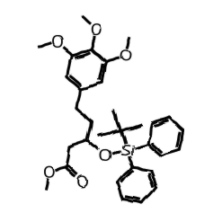 COC(=O)CC(CCc1cc(OC)c(OC)c(OC)c1)O[Si](c1ccccc1)(c1ccccc1)C(C)(C)C